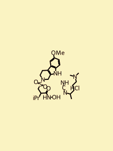 CC(CCCN(C)C)N=C=N.COc1ccc2[nH]c3c(c2c1)CCN(S(=O)(=O)CC(C(=O)NO)C(C)C)C3.Cl